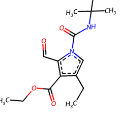 CCOC(=O)c1c(CC)cn(C(=O)NC(C)(C)C)c1C=O